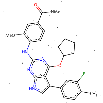 CNC(=O)c1ccc(Nc2nc(OC3CCCC3)c3c(-c4ccc(C)c(F)c4)c[nH]c3n2)c(OC)c1